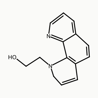 OCCN1CC=Cc2ccc3cccnc3c21